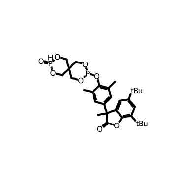 Cc1cc(C2(C)C(=O)Oc3c(C(C)(C)C)cc(C(C)(C)C)cc32)cc(C)c1OP1OCC2(CO1)CO[PH](=O)OC2